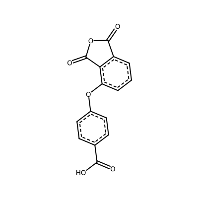 O=C(O)c1ccc(Oc2cccc3c2C(=O)OC3=O)cc1